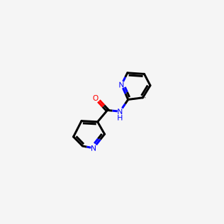 O=C(Nc1[c]cccn1)c1cccnc1